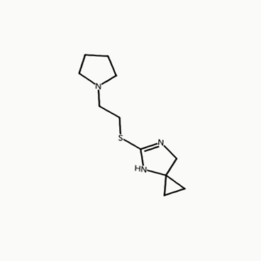 C1CCN(CCSC2=NCC3(CC3)N2)C1